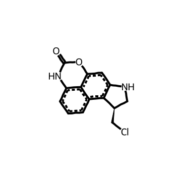 O=C1Nc2cccc3c4c(cc(c23)O1)NC[C@H]4CCl